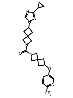 O=C(N1CC2(CC(Oc3ccc(C(F)(F)F)nc3)C2)C1)N1CC2(CC(n3cnc(C4CC4)n3)C2)C1